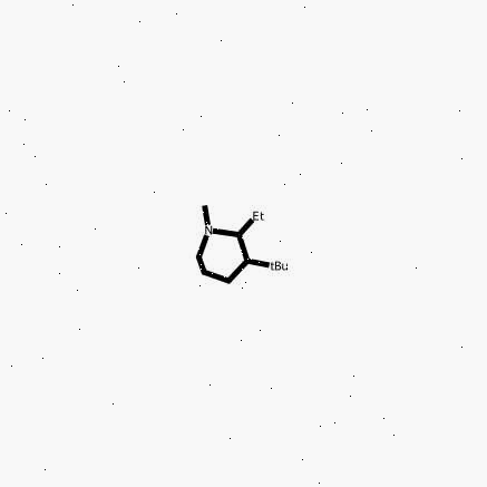 CCC1C(C(C)(C)C)CCCN1C